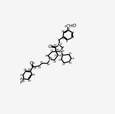 O=Cc1cccc(CN2CN(C3CCCCC3)C3(CCN(CCCC(=O)C4=CCC(F)C=C4)CC3)C2=O)c1